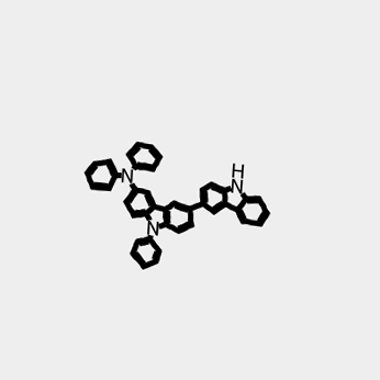 c1ccc(N(c2ccccc2)c2ccc3c(c2)c2cc(-c4ccc5[nH]c6ccccc6c5c4)ccc2n3-c2ccccc2)cc1